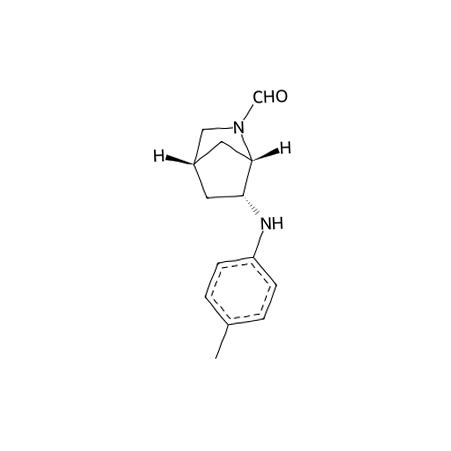 Cc1ccc(N[C@@H]2C[C@H]3C[C@@H]2N(C=O)C3)cc1